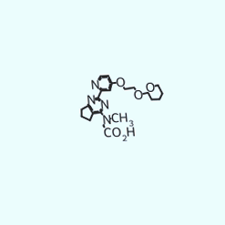 CN(CC(=O)O)c1nc(-c2cc(OCCOC3CCCCO3)ccn2)nc2c1CCC2